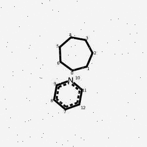 C1CCCCCC1.c1ccncc1